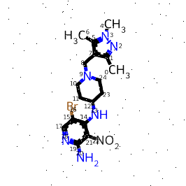 Cc1nn(C)c(C)c1CN1CCC(Nc2c(Br)cnc(N)c2[N+](=O)[O-])CC1